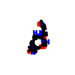 C=CC(=O)N1CC2CC2(CC[C@@H](N)[C@H](C(=O)N[C@H]2Cc3cccc(c3)-c3ccc4c(c3)c(c(-c3cccnc3[C@H](C)OC)n4CC)CC(C)(C)COC(=O)[C@@H]3CCCN(N3)C2=O)C(C)C)C1